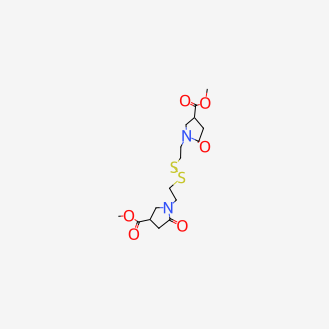 COC(=O)C1CC(=O)N(CCSSCCN2CC(C(=O)OC)CC2=O)C1